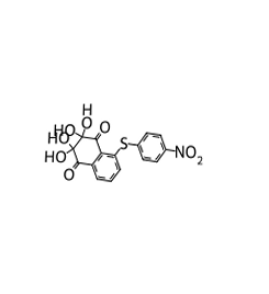 O=C1c2cccc(Sc3ccc([N+](=O)[O-])cc3)c2C(=O)C(O)(O)C1(O)O